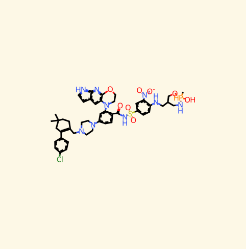 CC1(C)CCC(CN2CCN(c3ccc(C(=O)NS(=O)(=O)c4ccc(NCC5CN[PH](C)(O)OC5)c([N+](=O)[O-])c4)c(N4CCOc5nc6[nH]ccc6cc54)c3)CC2)=C(c2ccc(Cl)cc2)C1